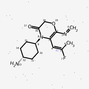 C=NC1=C(/C=C(\C)F)N([C@H]2CC[C@H](N)CC2)C(=O)CO1